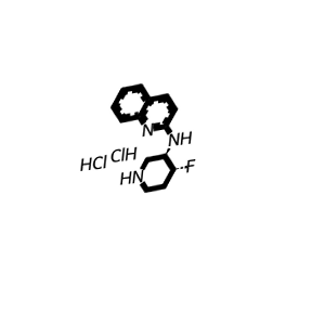 Cl.Cl.F[C@@H]1CCNC[C@@H]1Nc1ccc2ccccc2n1